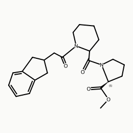 COC(=O)[C@@H]1CCCN1C(=O)C1CCCCN1C(=O)CC1Cc2ccccc2C1